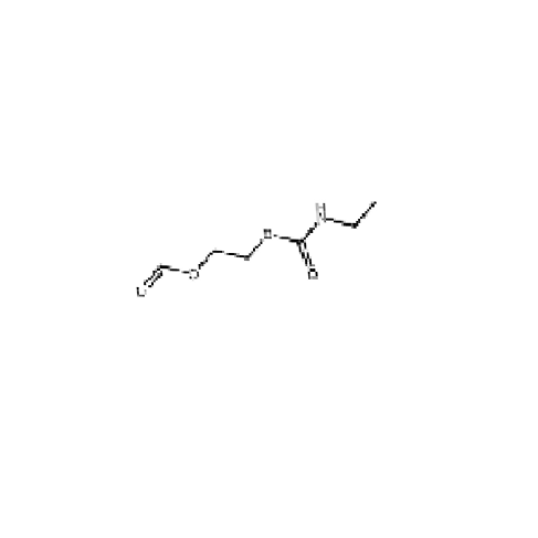 CCNC(=O)OCCOC=O